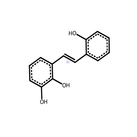 Oc1ccccc1/C=C/c1cccc(O)c1O